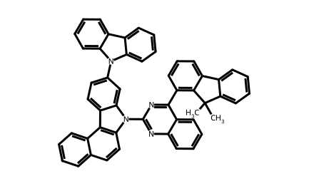 CC1(C)c2ccccc2-c2cccc(-c3nc(-n4c5cc(-n6c7ccccc7c7ccccc76)ccc5c5c6ccccc6ccc54)nc4ccccc34)c21